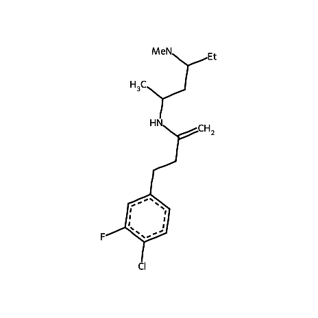 C=C(CCc1ccc(Cl)c(F)c1)NC(C)CC(CC)NC